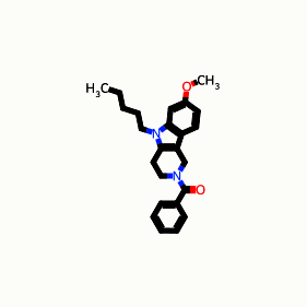 CCCCCn1c2c(c3ccc(OC)cc31)CN(C(=O)c1ccccc1)CC2